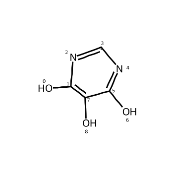 Oc1n[c]nc(O)c1O